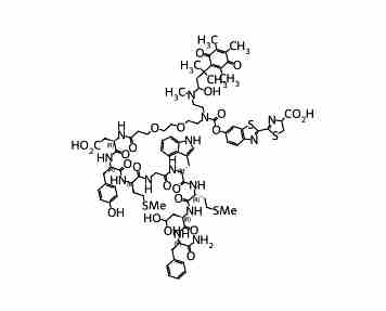 CSCC[C@@H](NC(=O)[C@@H](Cc1ccc(O)cc1)NC(=O)[C@@H](CC(=O)O)NC(=O)CCOCCOCCN(CCN(C)C(O)CC(C)(C)C1=C(C)C(=O)C(C)=C(C)C1=O)C(=O)Oc1ccc2nc(C3=NC(C(=O)O)CS3)sc2c1)C(=O)NCC(=O)N[C@H](Cc1c[nH]c2ccccc12)C(=O)N[C@H](CCSC)C(=O)N[C@H](CC(O)O)C(=O)N[C@H](Cc1ccccc1)C(N)=O